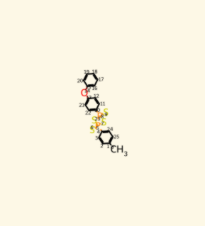 Cc1ccc(P2(=S)SP(=S)(c3ccc(Oc4ccccc4)cc3)S2)cc1